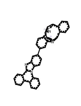 C1=C\c2c[nH]c3ccc(-c4ccc5c(c4)nc4c6ccccc6c6ccccc6n54)cc3nc(c3ccccc23)\C=C/1